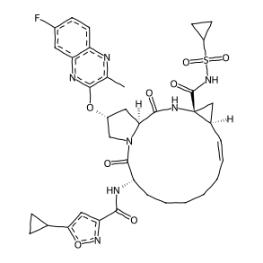 Cc1nc2ccc(F)cc2nc1O[C@@H]1C[C@H]2C(=O)N[C@]3(C(=O)NS(=O)(=O)C4CC4)C[C@H]3C=CCCCCC[C@H](NC(=O)c3cc(C4CC4)on3)C(=O)N2C1